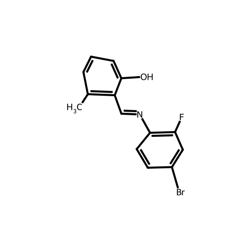 Cc1cccc(O)c1/C=N/c1ccc(Br)cc1F